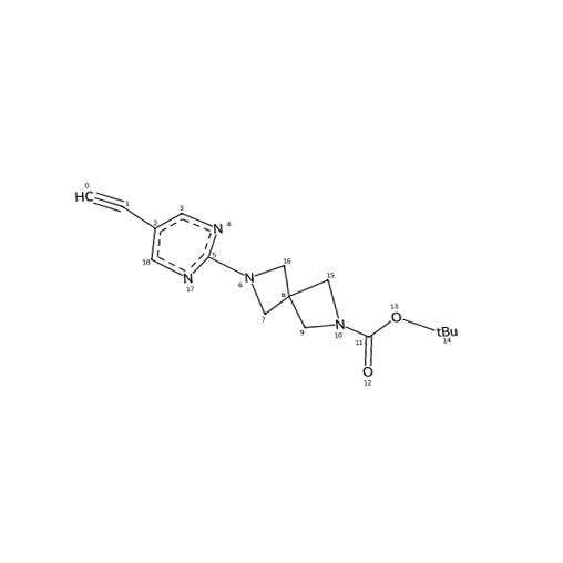 C#Cc1cnc(N2CC3(CN(C(=O)OC(C)(C)C)C3)C2)nc1